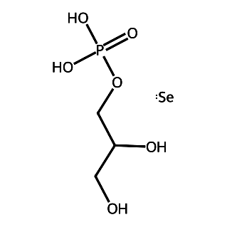 O=P(O)(O)OCC(O)CO.[Se]